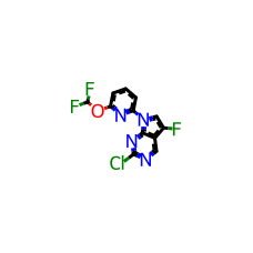 Fc1cn(-c2cccc(OC(F)F)n2)c2nc(Cl)ncc12